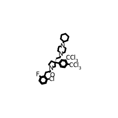 O=C(Cc1c(F)cccc1Cl)N1CC[C@@](CCN2CCN(C3CCCCC3)CC2)(c2ccc(C(Cl)(Cl)Cl)c(C(Cl)(Cl)Cl)c2)C1